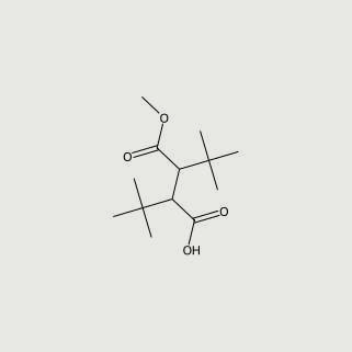 COC(=O)C(C(C(=O)O)C(C)(C)C)C(C)(C)C